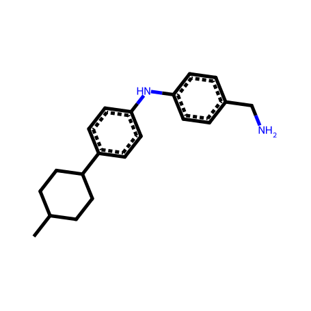 CC1CCC(c2ccc(Nc3ccc(CN)cc3)cc2)CC1